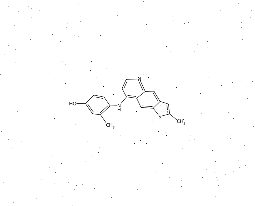 Cc1cc2cc3nccc(Nc4ccc(O)cc4C)c3cc2s1